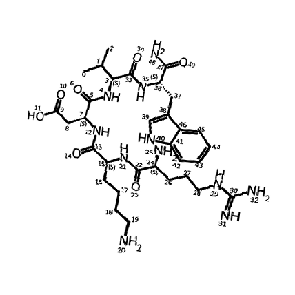 CC(C)[C@H](NC(=O)[C@H](CC(=O)O)NC(=O)[C@H](CCCCN)NC(=O)[C@@H](N)CCCNC(=N)N)C(=O)N[C@@H](Cc1c[nH]c2ccccc12)C(N)=O